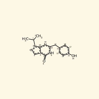 CC(C)n1ncc2c(=O)[nH]c(Cc3ccc(O)cc3)nc21